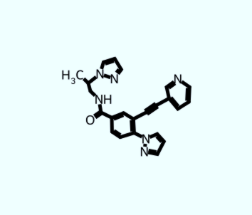 CC(CNC(=O)c1ccc(-n2cccn2)c(C#Cc2cccnc2)c1)n1cccn1